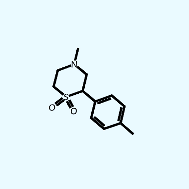 Cc1ccc(C2CN(C)CCS2(=O)=O)cc1